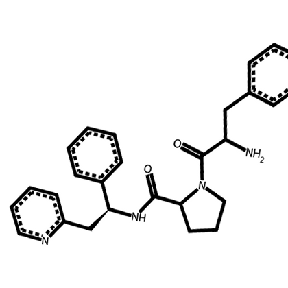 NC(Cc1ccccc1)C(=O)N1CCCC1C(=O)N[C@@H](Cc1ccccn1)c1ccccc1